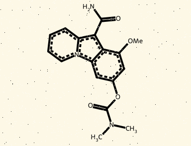 COc1cc(OC(=O)N(C)C)cc2c1c(C(N)=O)c1ccccn12